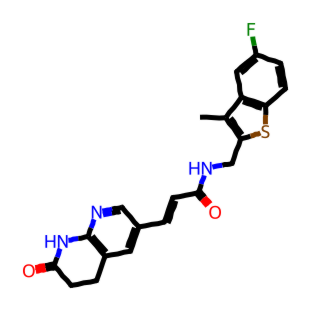 Cc1c(CNC(=O)/C=C/c2cnc3c(c2)CCC(=O)N3)sc2ccc(F)cc12